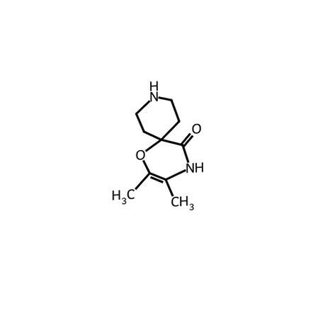 CC1=C(C)OC2(CCNCC2)C(=O)N1